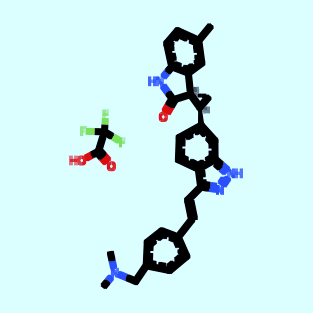 Cc1ccc2c(c1)[C@]1(C[C@H]1c1ccc3c(C=Cc4ccc(CN(C)C)cc4)n[nH]c3c1)C(=O)N2.O=C(O)C(F)(F)F